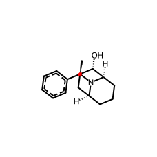 C[C@H](c1ccccc1)N1[C@H]2CCC[C@@H]1[C@@H](O)CC2